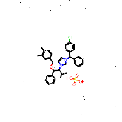 Cc1ccc(COC(c2ccccc2)C(C(C)C)N2C=CN(C(c3ccccc3)c3ccc(Cl)cc3)C2)cc1C.O=S(=O)(O)O